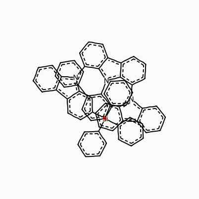 c1ccc(-c2ccccc2-n2c3c(-n4c5ccccc5c5ccccc54)cccc3c3cccc(-n4c5ccccc5c5ccc([Si](c6ccccc6)(c6ccccc6)c6ccccc6)cc54)c32)cc1